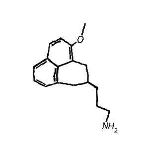 COc1ccc2cccc3c2c1CC(CCCN)C3